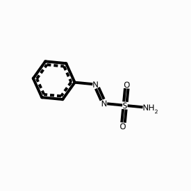 NS(=O)(=O)N=Nc1ccccc1